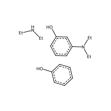 CCN(CC)c1cccc(O)c1.CCNCC.Oc1ccccc1